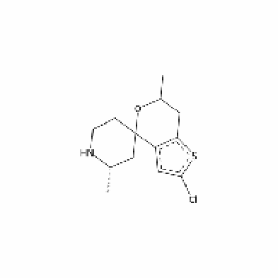 CC1Cc2sc(Cl)cc2C2(CCN[C@@H](C)C2)O1